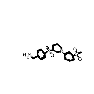 CS(=O)(=O)c1cccc(N2CCCC(S(=O)(=O)c3ccc(CN)cc3)C2)c1